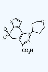 O=C(O)c1nn(C2CCOCC2)c2c1CS(=O)(=O)c1sccc1-2